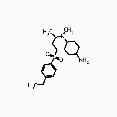 CCc1ccc(S(=O)(=O)CCC(C)N(C)C2CCC(N)CC2)cc1